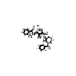 O=C(Nc1[nH]nc(C(=O)N[C@@H]2CCCCN(C(=O)c3ccccc3)C2)c1Br)c1ccccc1Cl